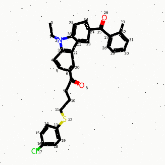 CCn1c2ccc(C(=O)CCCSc3ccc(Cl)cc3)cc2c2cc(C(=O)c3ccccc3C)ccc21